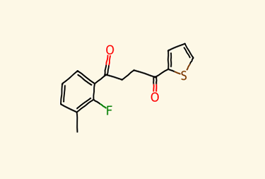 Cc1cccc(C(=O)CCC(=O)c2cccs2)c1F